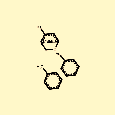 CC(=O)c1ccccc1.Cc1ccccc1.Oc1cc2ccc1CO2